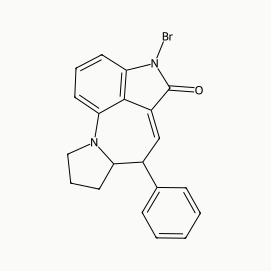 O=C1C2=CC(c3ccccc3)C3CCCN3c3cccc(c32)N1Br